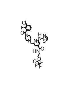 O=C(NCCOC(=O)C(F)(F)F)c1cc(CN2CCN(C(=O)c3cccc(Cl)c3F)CC2)nc(Nc2nccs2)c1